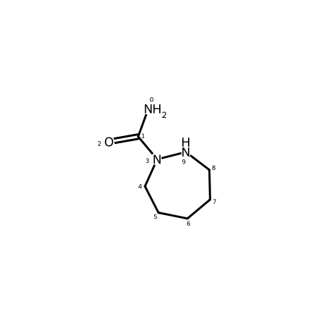 NC(=O)N1CCCCCN1